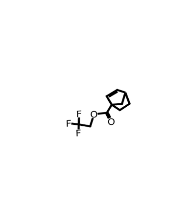 O=C(OCC(F)(F)F)C12C=CC(CC1)C2